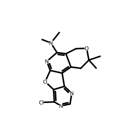 CN(C)c1nc2oc3c(Cl)ncnc3c2c2c1COC(C)(C)C2